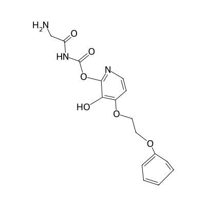 NCC(=O)NC(=O)Oc1nccc(OCCOc2ccccc2)c1O